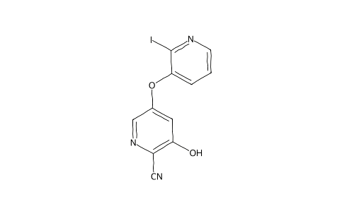 N#Cc1ncc(Oc2cccnc2I)cc1O